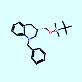 CC(C)(C)[Si](C)(C)OC[C@H]1Cc2ccccc2N(Cc2ccccc2)C1